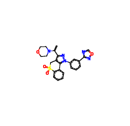 C=C(c1nn(-c2cccc(-c3ncon3)c2)c2c1CS(=O)(=O)c1ccccc1-2)N1CCOCC1